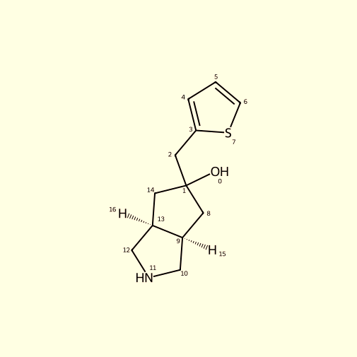 OC1(Cc2cccs2)C[C@H]2CNC[C@H]2C1